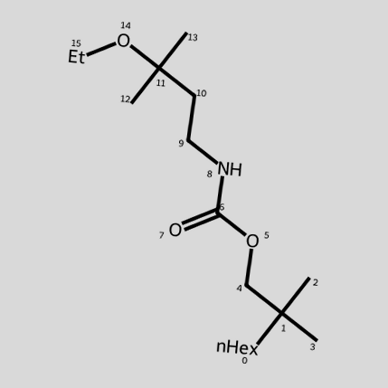 CCCCCCC(C)(C)COC(=O)NCCC(C)(C)OCC